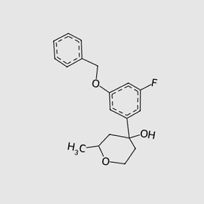 CC1CC(O)(c2cc(F)cc(OCc3ccccc3)c2)CCO1